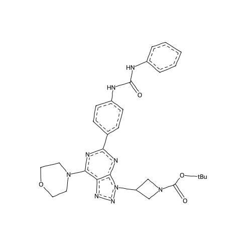 CC(C)(C)OC(=O)N1CC(n2nnc3c(N4CCOCC4)nc(-c4ccc(NC(=O)Nc5ccccc5)cc4)nc32)C1